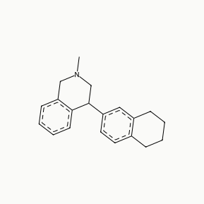 CN1Cc2ccccc2C(c2ccc3c(c2)CCCC3)C1